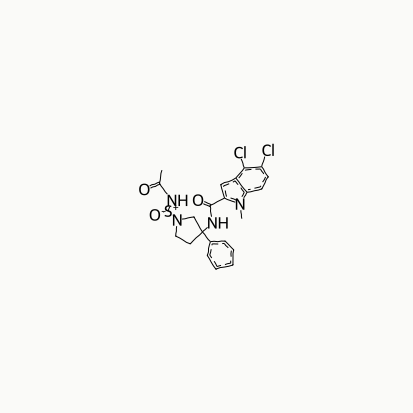 CC(=O)N[S+]([O-])N1CCC(NC(=O)c2cc3c(Cl)c(Cl)ccc3n2C)(c2ccccc2)C1